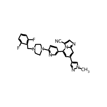 Cn1cc(-c2cc(-c3ccc(N4CCN(Cc5c(F)cccc5F)CC4)nc3)n3c(C#N)cnc3c2)cn1